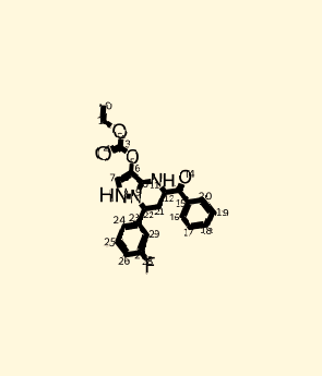 CCOC(=O)OC1=CNN2C1NC(C(=O)c1ccccc1)CC2c1cccc(F)c1